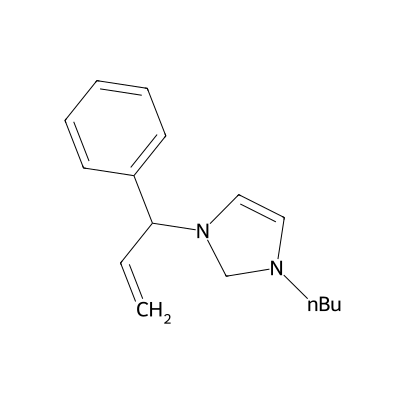 C=CC(c1ccccc1)N1C=CN(CCCC)C1